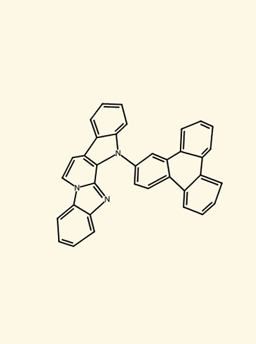 c1ccc2c(c1)nc1c3c(ccn21)c1ccccc1n3-c1ccc2c3ccccc3c3ccccc3c2c1